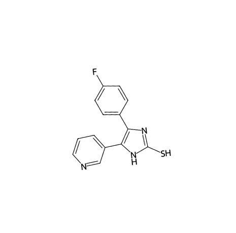 Fc1ccc(-c2nc(S)[nH]c2-c2cccnc2)cc1